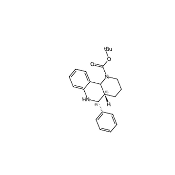 CC(C)(C)OC(=O)N1CCC[C@H]2C1c1ccccc1N[C@H]2c1ccccc1